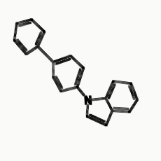 c1ccc(-c2ccc(-n3ccc4ccccc43)cc2)cc1